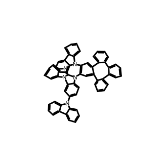 c1ccc2c(c1)-c1ccccc1-c1cc(-n3c4ccccc4c4ccccc43)c(-n3c4ccc(-n5c6ccccc6c6ccccc65)cc4n4c5ccccc5nc34)cc1-c1ccccc1-2